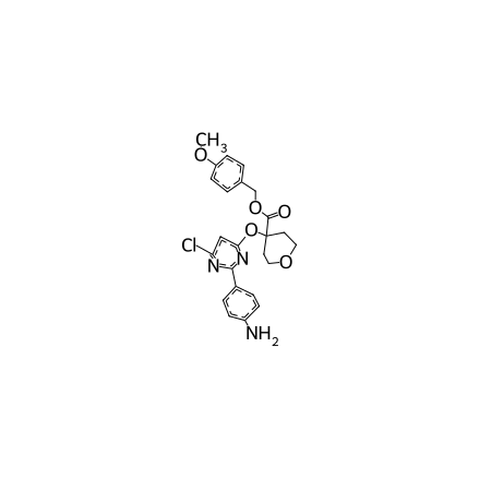 COc1ccc(COC(=O)C2(Oc3cc(Cl)nc(-c4ccc(N)cc4)n3)CCOCC2)cc1